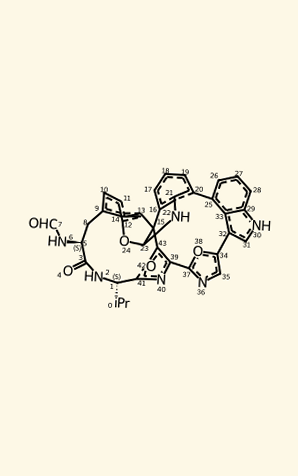 CC(C)[C@@H]1NC(=O)[C@@H](NC=O)Cc2ccc3c(c2)C24c5cccc(c5NC2O3)-c2cccc3[nH]cc(c23)-c2cnc(o2)-c2nc1oc24